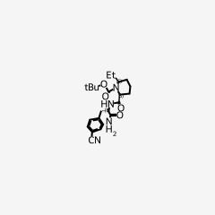 CC[C@H]1CCC[C@@H](C(=O)N[C@@H](Cc2ccc(C#N)cc2)C(N)=O)N1C(=O)OC(C)(C)C